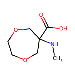 CNC1(C(=O)O)COCCOC1